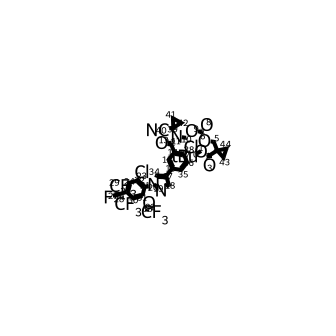 CC(C)(C)OC(=O)C1(COC(=O)OCN(C(=O)c2cc(-c3cnn(-c4c(Cl)cc(C(F)(C(F)(F)F)C(F)(F)F)cc4OC(F)(F)F)c3)ccc2Cl)C2(C#N)CC2)CC1